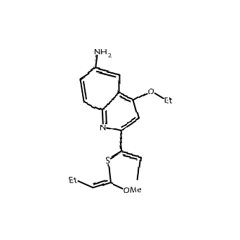 C/C=C(\S/C(=C\CC)OC)c1cc(OCC)c2cc(N)ccc2n1